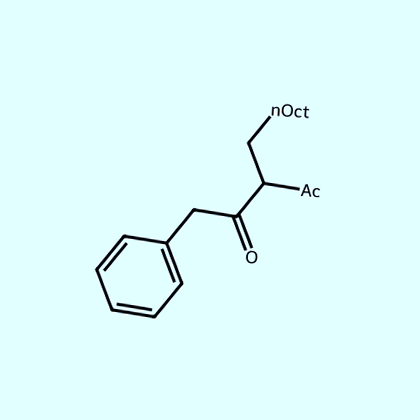 CCCCCCCCCC(C(C)=O)C(=O)Cc1ccccc1